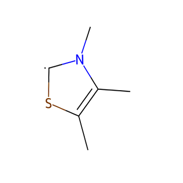 CC1=C(C)N(C)[CH]S1